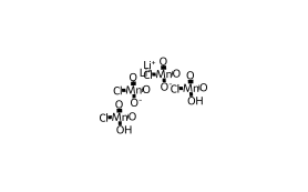 [Li+].[Li+].[O]=[Mn](=[O])([O-])[Cl].[O]=[Mn](=[O])([O-])[Cl].[O]=[Mn](=[O])([OH])[Cl].[O]=[Mn](=[O])([OH])[Cl]